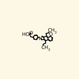 CCCc1c2c(c(CCC)c3c1=CN(c1ccc(CC(=O)O)cc1)C3)=CC=CC2=O